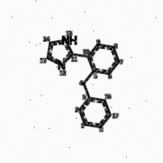 c1ccc(Cc2ccccc2-c2ncc[nH]2)cc1